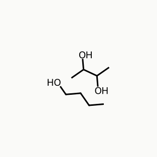 CC(O)C(C)O.CCCCO